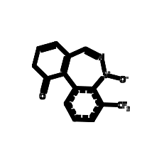 O=C1CC=CC2=C1c1cccc(C(F)(F)F)c1[S+]([O-])N=C2